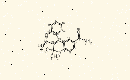 CC1(C)Oc2ccc(C(N)=O)cc2C(n2ccccc2=O)=C1C=O